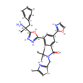 Cc1csc(CN(C(=O)c2cc(-c3ncco3)cc(-c3nnc([C@](C)(N)Cc4ccccc4)o3)c2)C(C)(C)C)n1